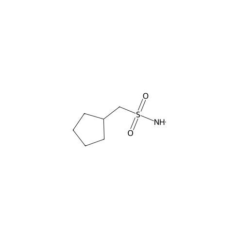 [NH]S(=O)(=O)CC1CCCC1